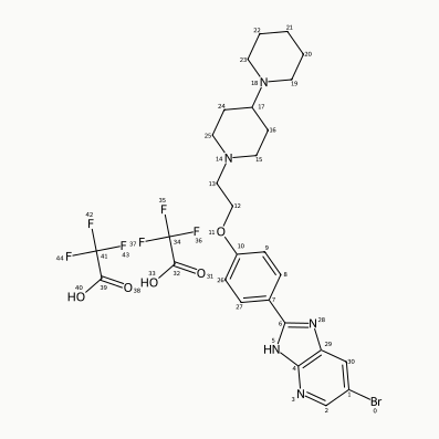 Brc1cnc2[nH]c(-c3ccc(OCCN4CCC(N5CCCCC5)CC4)cc3)nc2c1.O=C(O)C(F)(F)F.O=C(O)C(F)(F)F